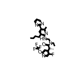 CCCCc1cc(-c2ncccn2)c(C)nc1NCN(CC)C(=O)[C@H](C)c1cc(OC(F)(F)F)ncc1F